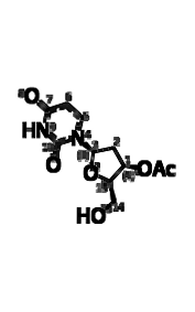 CC(=O)O[C@@H]1C[C@H](n2ccc(=O)[nH]c2=O)O[C@@H]1CO